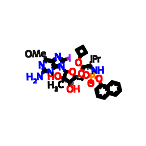 COc1nc(N)nc2c1nc(I)n2C1O[C@H](COP(=O)(N[C@H](C(=O)OC2CCC2)C(C)C)Oc2cccc3ccccc23)[C@@H](O)[C@@]1(C)O